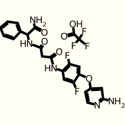 NC(=O)C(NC(=O)CC(=O)Nc1cc(F)c(Oc2ccnc(N)c2)cc1F)c1ccccc1.O=C(O)C(F)(F)F